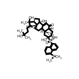 CN(C)c1cccc2c(S(=O)(=O)[C@]3(O)C[C@@]4(C)[C@@H](C[C@H]3O)C(=O)C=C3[C@@H]4CC[C@]4(C)[C@@H]([C@@](C)(O)C(O)CCC(C)(C)O)CC[C@@]34O)cccc12